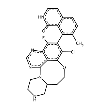 Cc1ccc2cc[nH]c(=O)c2c1-c1c(Cl)c2c3c(ncnc3c1F)N1CCNCC1CCO2